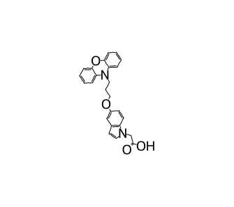 O=C(O)Cn1ccc2cc(OCCCN3c4ccccc4Oc4ccccc43)ccc21